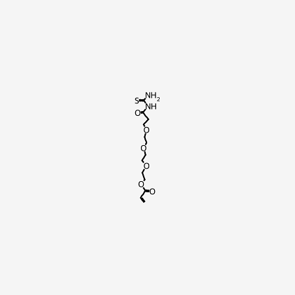 C=CC(=O)OCCOCCOCCOCCC(=O)NC(N)=S